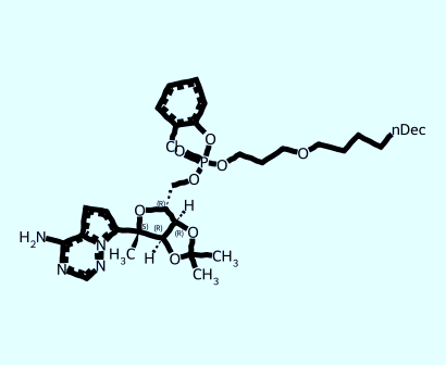 CCCCCCCCCCCCCCOCCCOP(=O)(OC[C@H]1O[C@@](C)(c2ccc3c(N)ncnn23)[C@@H]2OC(C)(C)O[C@@H]21)Oc1ccccc1Cl